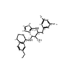 CCc1ccc2c(c1)C(NCC(O)C(Cc1cc(F)cc(F)c1)Nc1nncs1)CCC2